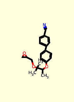 CC(Oc1ccc(-c2ccc(C#N)cc2)cc1)C(C)(C)OCC1CO1